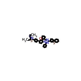 C=Cc1sc(-c2ccc(-c3cccc4c3oc3cccc(-c5nc(-c6ccccc6)nc(-c6ccc7c(c6)sc6ccccc67)n5)c34)cc2)nc1/C=C\C